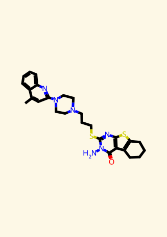 Cc1cc(N2CCN(CCCSc3nc4sc5c(c4c(=O)n3N)CCCC5)CC2)nc2ccccc12